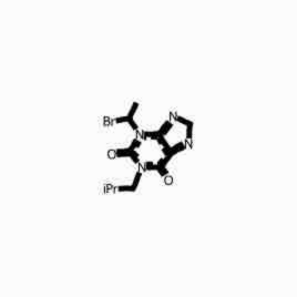 CC(C)Cn1c(=O)c2c(n(C(C)Br)c1=O)=NCN=2